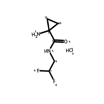 Cl.NC1(C(=O)NCC(F)F)CC1